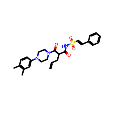 C=CCC(C(=O)NS(=O)(=O)/C=C/c1ccccc1)C(=O)N1CCN(c2ccc(C)c(C)c2)CC1